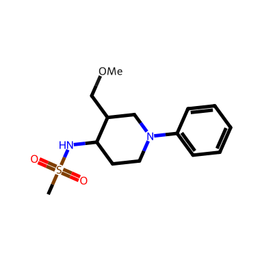 COCC1CN(c2ccccc2)CCC1NS(C)(=O)=O